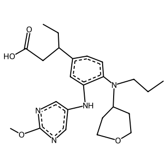 CCCN(c1ccc(C(CC)CC(=O)O)cc1Nc1cnc(OC)nc1)C1CCOCC1